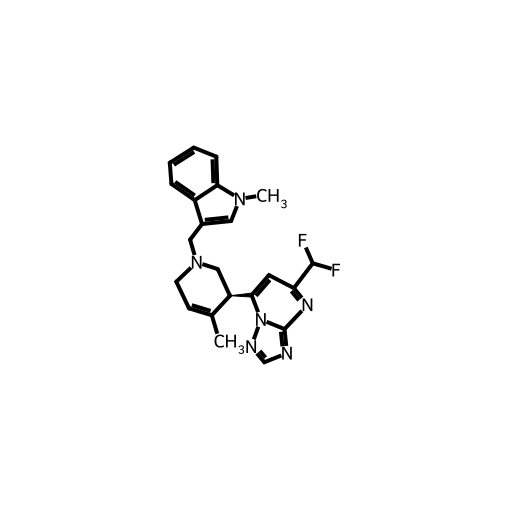 CC1=CCN(Cc2cn(C)c3ccccc23)C[C@H]1c1cc(C(F)F)nc2ncnn12